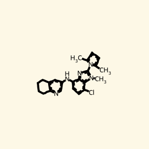 Cc1ccc(C)n1-c1nc2c(Nc3cnc4c(c3)CCCC4)ccc(Cl)c2n1C